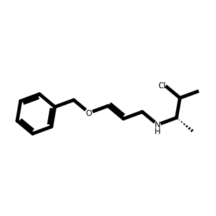 CC(Cl)[C@H](C)NC/C=C/OCc1ccccc1